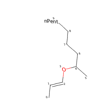 CC=COC(C)CCCCCCCC